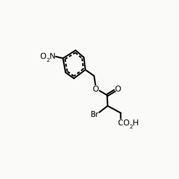 O=C(O)CC(Br)C(=O)OCc1ccc([N+](=O)[O-])cc1